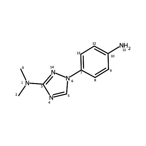 CN(C)c1ncn(-c2ccc(N)cc2)n1